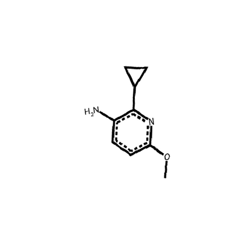 COc1ccc(N)c(C2CC2)n1